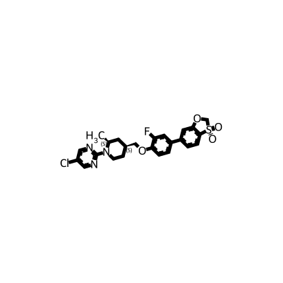 C[C@H]1C[C@@H](COc2ccc(-c3ccc4c(c3)OCS4(=O)=O)cc2F)CCN1c1ncc(Cl)cn1